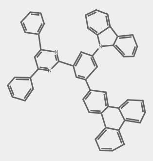 c1ccc(-c2cc(-c3ccccc3)nc(-c3cc(-c4ccc5c6ccccc6c6ccccc6c5c4)cc(-n4c5ccccc5c5ccccc54)c3)n2)cc1